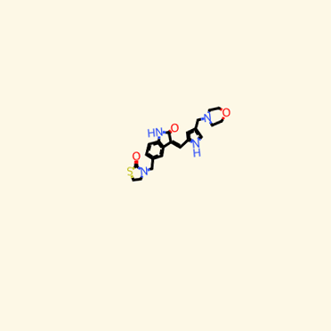 O=C1Nc2ccc(CN3CCSC3=O)cc2/C1=C/c1cc(CN2CCOCC2)c[nH]1